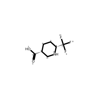 O=C(O)[C@@H]1CC[C@H](C(F)(F)F)NC1